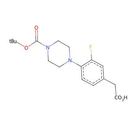 CC(C)(C)OC(=O)N1CCN(c2ccc(CC(=O)O)cc2F)CC1